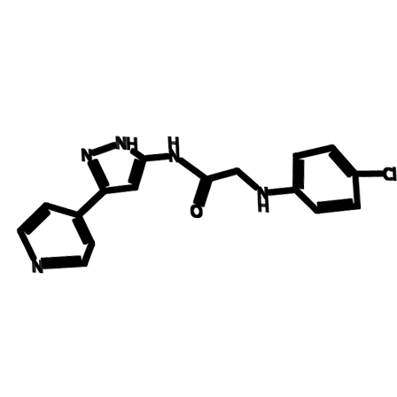 O=C(CNc1ccc(Cl)cc1)Nc1cc(-c2ccncc2)n[nH]1